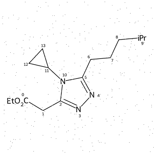 CCOC(=O)Cc1nnc(CCCC(C)C)n1C1CC1